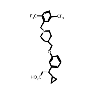 O=C(O)C[C@H](c1cccc(OCC2CCN(Cc3cc(C(F)(F)F)ccc3C(F)(F)F)CC2)c1)C1CC1